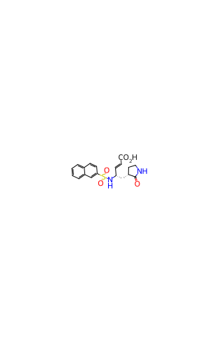 O=C(O)/C=C/[C@H](C[C@@H]1CCNC1=O)NS(=O)(=O)c1ccc2ccccc2c1